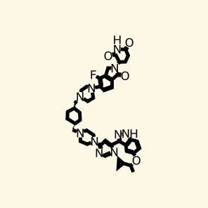 CC(Oc1ccc2[nH]nc(-c3cc(N4CCN(C[C@H]5CC[C@H](CN6CCN(c7ccc8c(c7F)CN(C7CCC(=O)NC7=O)C8=O)CC6)CC5)CC4)ncn3)c2c1)C1CC1